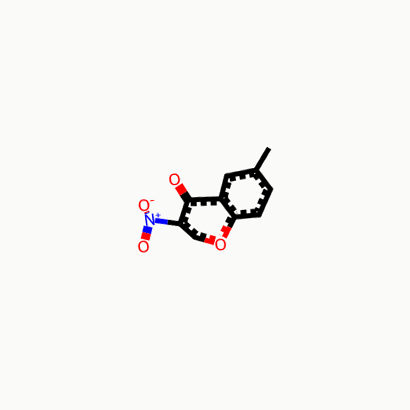 Cc1ccc2occ([N+](=O)[O-])c(=O)c2c1